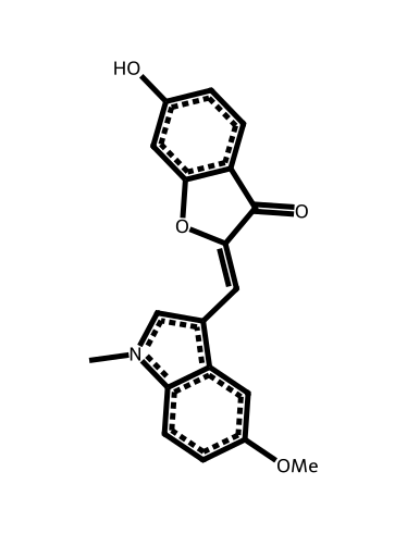 COc1ccc2c(c1)c(/C=C1\Oc3cc(O)ccc3C1=O)cn2C